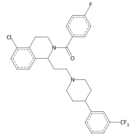 O=C(c1ccc(F)cc1)N1CCc2c(Cl)cccc2C1CCN1CCC(c2cccc(C(F)(F)F)c2)CC1